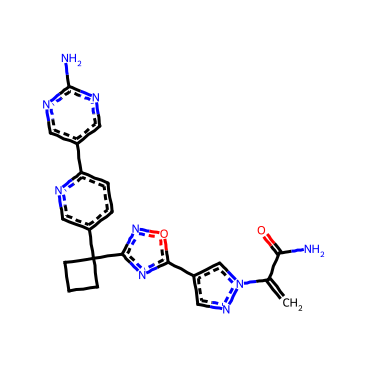 C=C(C(N)=O)n1cc(-c2nc(C3(c4ccc(-c5cnc(N)nc5)nc4)CCC3)no2)cn1